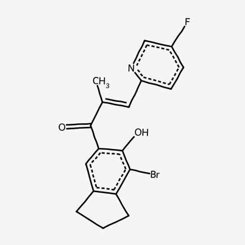 CC(=Cc1ccc(F)cn1)C(=O)c1cc2c(c(Br)c1O)CCC2